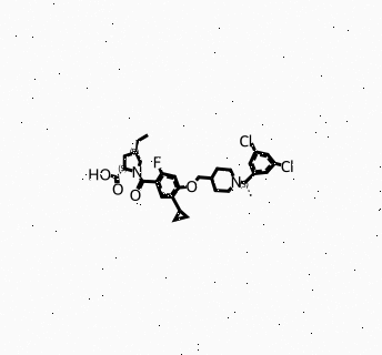 CC[C@@H]1C[C@@H](C(=O)O)N(C(=O)c2cc(C3CC3)c(OCC3CCN([C@@H](C)c4cc(Cl)cc(Cl)c4)CC3)cc2F)C1